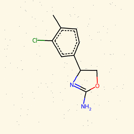 Cc1ccc(C2COC(N)=N2)cc1Cl